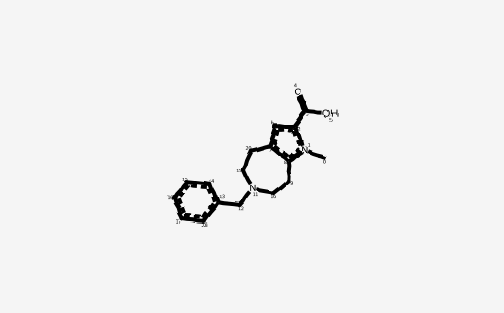 Cn1c(C(=O)O)cc2c1CCN(Cc1ccccc1)CC2